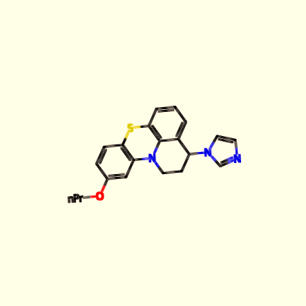 CCCOc1ccc2c(c1)N1CCC(n3ccnc3)c3cccc(c31)S2